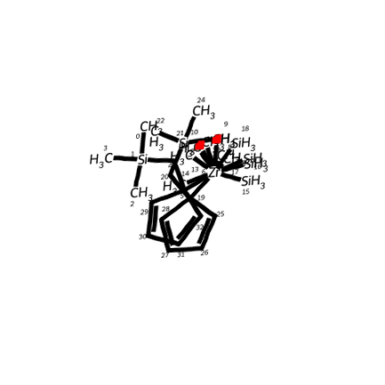 C[Si](C)(C)C[C]1([Zr]([CH3])([CH3])([CH3])([CH3])([CH3])([CH3])([CH3])([CH3])([SiH3])([SiH3])([SiH3])([SiH3])[C]2(C[Si](C)(C)C)C=CC=C2)C=CC=C1